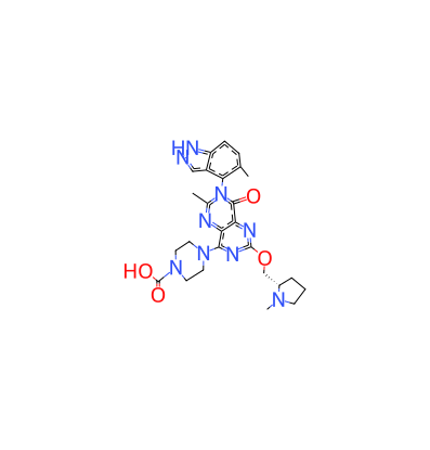 Cc1ccc2[nH]ncc2c1-n1c(C)nc2c(N3CCN(C(=O)O)CC3)nc(OC[C@@H]3CCCN3C)nc2c1=O